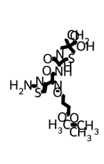 C=CC1(C(=O)O)CS[C@@H]2C(NC(=O)C(=NOCCCC(=O)OC(C)(C)C)c3csc(N)n3)C(=O)N2C1